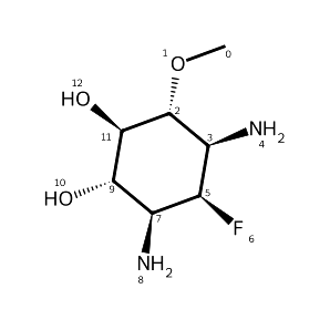 CO[C@@H]1[C@@H](N)[C@@H](F)[C@@H](N)[C@H](O)[C@H]1O